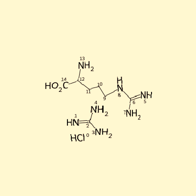 Cl.N=C(N)N.N=C(N)NCCCC(N)C(=O)O